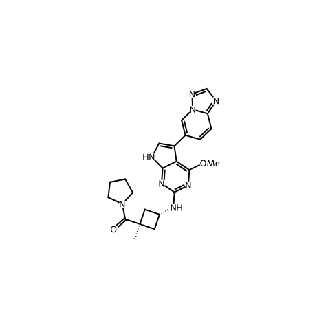 COc1nc(N[C@H]2C[C@](C)(C(=O)N3CCCC3)C2)nc2[nH]cc(-c3ccc4ncnn4c3)c12